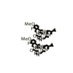 COc1ccc(-c2c[nH]nn2)c(CNC(=O)c2cn(Cc3cn4cc(C5CC5)ccc4n3)nn2)c1F.COc1ccc(-c2c[nH]nn2)c(CNC(=O)c2cn(Cc3cn4cc(C5CC5)ccc4n3)nn2)c1F